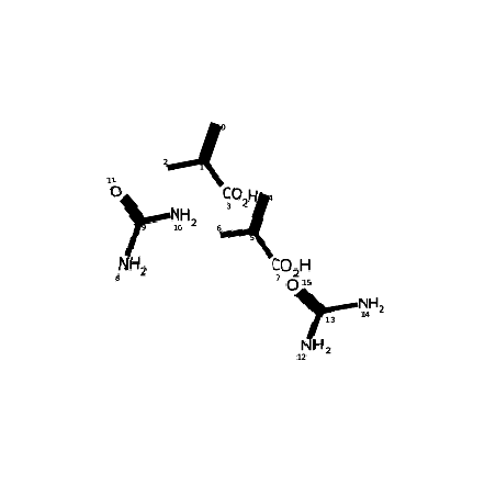 C=C(C)C(=O)O.C=C(C)C(=O)O.NC(N)=O.NC(N)=O